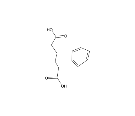 O=C(O)CCCCC(=O)O.c1ccccc1